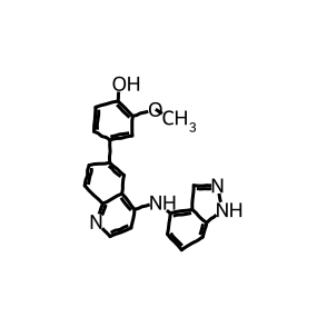 COc1cc(-c2ccc3nccc(Nc4cccc5[nH]ncc45)c3c2)ccc1O